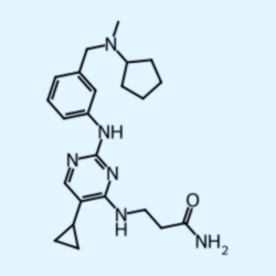 CN(Cc1cccc(Nc2ncc(C3CC3)c(NCCC(N)=O)n2)c1)C1CCCC1